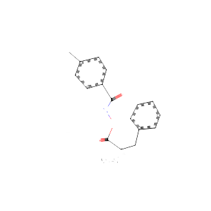 CN[C@@H](Cc1ccccc1)C(=O)ONC(=O)c1ccc(C=O)cc1.Cl